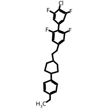 CCc1ccc(C2CCC(CCc3cc(F)c(-c4cc(F)c(Cl)c(F)c4)c(F)c3)CC2)cc1